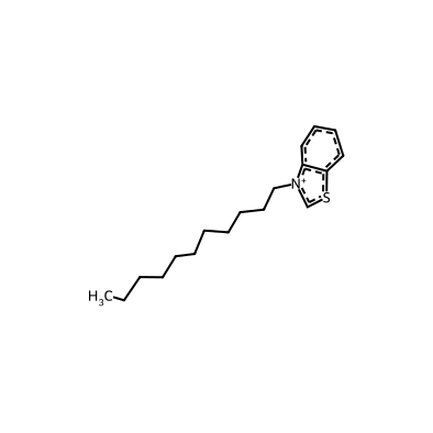 CCCCCCCCCCC[n+]1csc2ccccc21